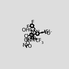 CC(C(=O)OCN(c1nn(CC(F)(F)F)c2c(-c3ccc(C#CC(C)(C)[S+](C)[O-])nc3C(Cc3cc(F)cc(F)c3)NC=O)ccc(Cl)c12)[S+](C)[O-])N(C)C